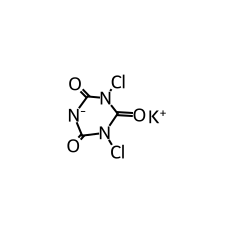 O=c1[n-]c(=O)n(Cl)c(=O)n1Cl.[K+]